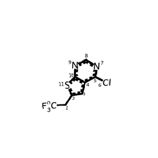 FC(F)(F)Cc1cc2c(Cl)ncnc2s1